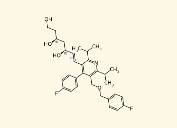 CC(C)c1nc(C(C)C)c(COCc2ccc(F)cc2)c(-c2ccc(F)cc2)c1/C=C/[C@@H](O)C[C@@H](O)CCO